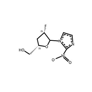 O=[N+]([O-])c1nccn1C1O[C@H](CO)C[C@@H]1F